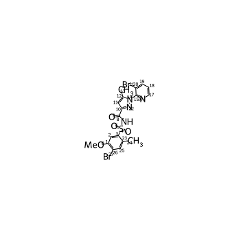 COc1cc(S(=O)(=O)NC(=O)c2cc(C)n(-c3ncccc3Br)n2)c(C)cc1Br